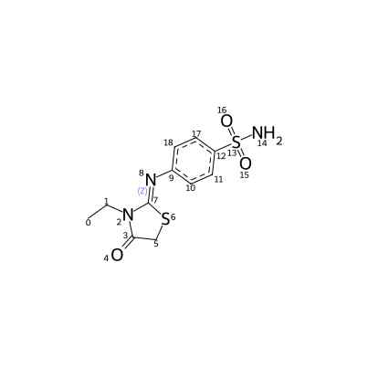 CCN1C(=O)CS/C1=N\c1ccc(S(N)(=O)=O)cc1